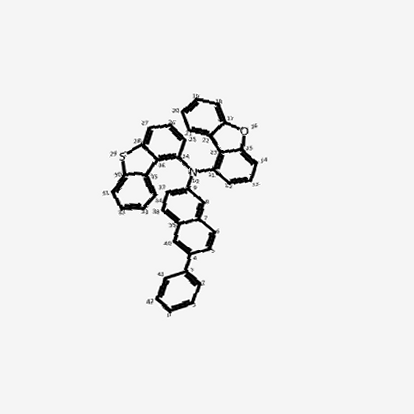 c1ccc(-c2ccc3cc(N(c4cccc5oc6ccccc6c45)c4cccc5sc6ccccc6c45)ccc3c2)cc1